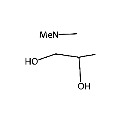 CC(O)CO.CNC